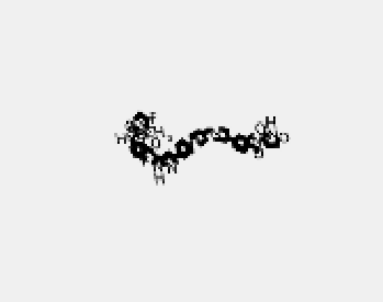 C[C@H]1[C@H](F)CCN1S(=O)(=O)Nc1ccc(F)c(C(=O)c2c[nH]c3ncc(-c4ccc(N5CCC(CN6CCC(c7ccc8c(c7)CN([C@H]7CCC(=O)NC7=O)C8=O)CC6)CC5)cc4)cc23)c1F